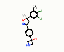 OC1(c2ccc(C3=NO[C@](c4cc(Cl)c(Cl)c(C(F)(F)F)c4)(C(F)(F)F)C3)cc2)CNC1